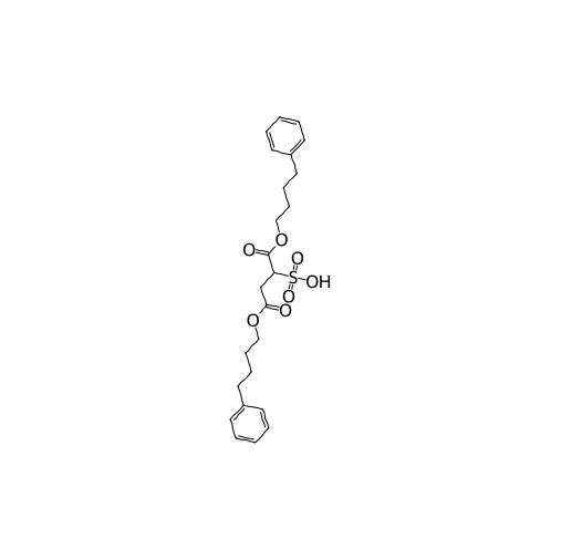 O=C(CC(C(=O)OCCCCc1ccccc1)S(=O)(=O)O)OCCCCc1ccccc1